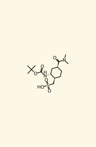 CN(C)C(=O)[C@H]1CC[C@@H](CS(=O)(=O)O)[C@H](NC(=O)OC(C)(C)C)C1